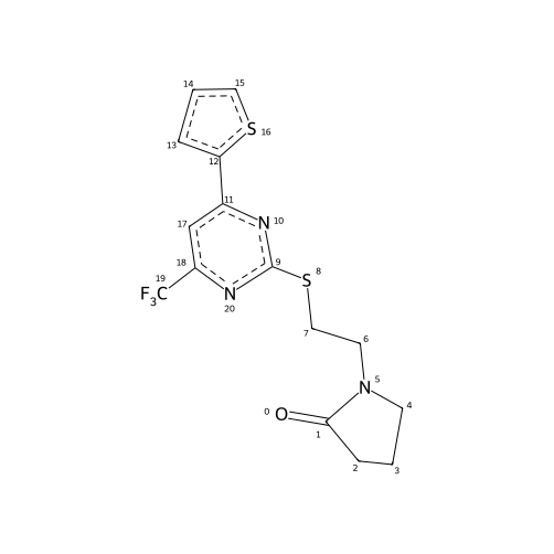 O=C1CCCN1CCSc1nc(-c2cccs2)cc(C(F)(F)F)n1